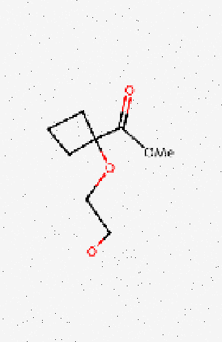 COC(=O)C1(OCC[O])CCC1